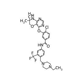 CCN1CCN(Cc2ccc(NC(=O)c3ccc(Cl)c(Oc4ncnc5c4OCC(C)(C)N5)c3)cc2C(F)(F)F)CC1